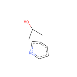 CC(C)O.c1ccncc1